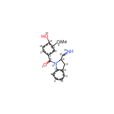 COc1cc(C(=O)N2c3ccccc3CC2C=N)ccc1O